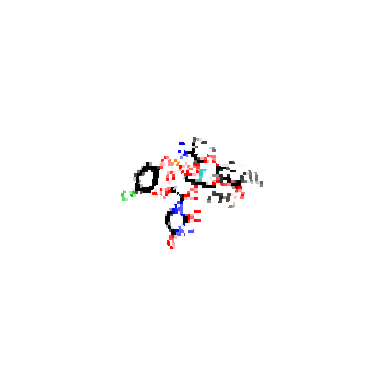 CC(=O)O[C@@H](C)[C@@](F)(COP(=O)(NC(C)C(=O)OC(C)C)Oc1ccc(Cl)cc1)O[C@H](CO)n1ccc(=O)[nH]c1=O